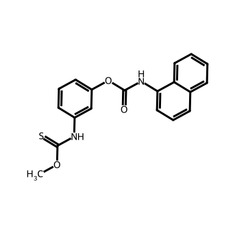 COC(=S)Nc1cccc(OC(=O)Nc2cccc3ccccc23)c1